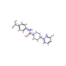 Cc1ccnc(N2CCN(C(=O)Nc3ccc(C(C)C)cc3)CC2)n1